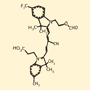 Cc1ccc2c(c1)C(C)(C)C(/C=C/C(C#N)=C/C=C1/N(CCOC=O)c3ccc(C(F)(F)F)cc3C1(C)C)=[N+]2CCC(=O)O